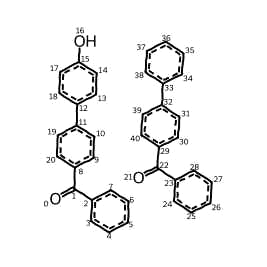 O=C(c1ccccc1)c1ccc(-c2ccc(O)cc2)cc1.O=C(c1ccccc1)c1ccc(-c2ccccc2)cc1